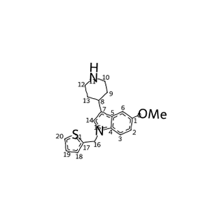 COc1ccc2c(c1)c(C1CCNCC1)cn2Cc1cccs1